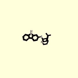 CC(C)=C1C2CCN(CC2)C1Sc1ccc2c(c1)[nH]c1ccccc12